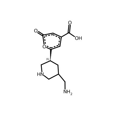 NCC1CNC[C@@H](c2cc(C(=O)O)cc(=O)o2)C1